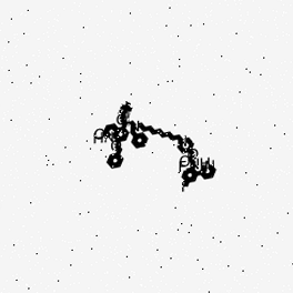 CC(C)(C)[Si](C)(C)O[C@@H](CN(CCCCCCCCCN1CCC(OC(=O)Nc2c(F)cc(F)cc2-c2cccnc2)CC1)Cc1ccccc1)c1ccc(OCc2ccccc2)c2[nH]c(=O)ccc12